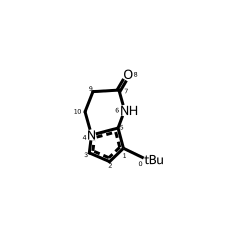 CC(C)(C)c1ccn2c1NC(=O)CC2